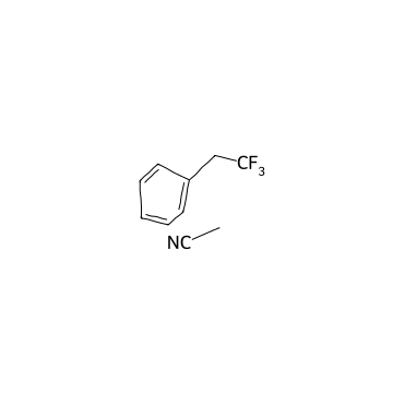 CC#N.FC(F)(F)Cc1ccccc1